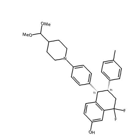 COC(OC)C1CCN(c2ccc([C@H]3c4ccc(O)cc4C(F)(F)C[C@H]3c3ccc(C)cc3)cc2)CC1